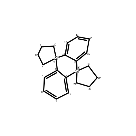 c1ccc2c(c1)[Si]1(CCCC1)c1ccccc1[Si]21CCCC1